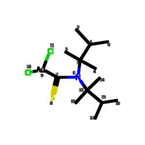 CC(C)C(C)(C)N([C](=S)[Au]([Cl])[Cl])C(C)(C)C(C)C